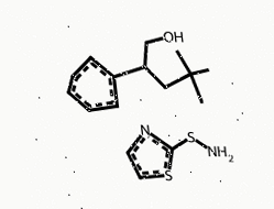 CC(C)(C)CC(CO)c1ccccc1.NSc1nccs1